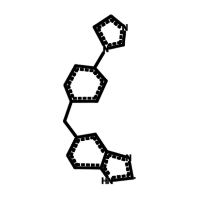 [c]1nc2cc(Cc3ccc(-n4ccnc4)cc3)ccc2[nH]1